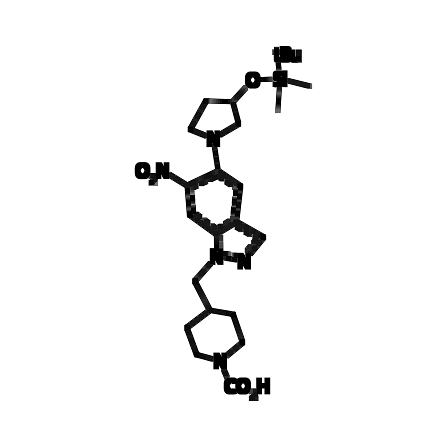 CC(C)(C)[Si](C)(C)OC1CCN(c2cc3cnn(CC4CCN(C(=O)O)CC4)c3cc2[N+](=O)[O-])C1